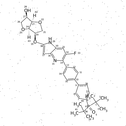 CC(C)(C)P(=O)(c1ccc(-c2ccc(-c3nc4cc(O[C@@H]5CO[C@H]6[C@@H]5OC[C@H]6O)[nH]c4cc3F)cc2)cc1)C(C)(C)C